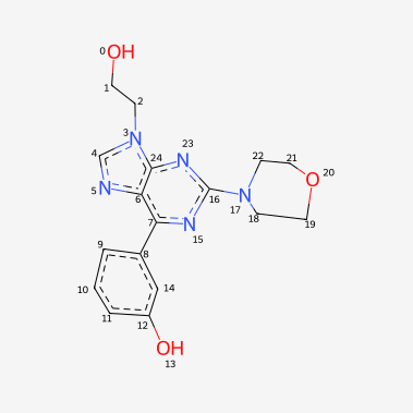 OCCn1cnc2c(-c3cccc(O)c3)nc(N3CCOCC3)nc21